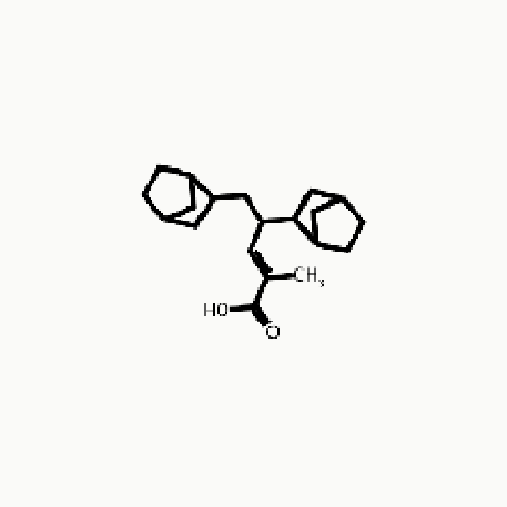 CC(=CC(CC1CC2CCC1C2)C1CC2CCC1C2)C(=O)O